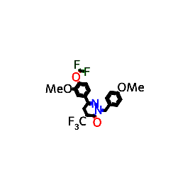 COc1ccc(CN2N=C(c3ccc(OC(F)F)c(OC)c3)CC(C(F)(F)F)C2=O)cc1